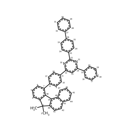 CC1(C)c2cccc(-c3ccc(-c4cc(-c5ccncc5)nc(-c5ccc(-c6ccccc6)cc5)n4)cc3)c2-c2c1ccc1ccccc21